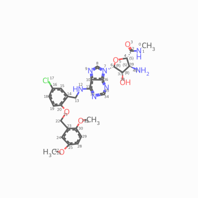 CNC(=O)[C@H]1O[C@@H](n2cnc3c(NCc4cc(Cl)ccc4OCc4cc(OC)ccc4OC)ncnc32)[C@H](O)[C@@H]1N